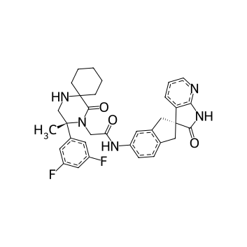 C[C@@]1(c2cc(F)cc(F)c2)CNC2(CCCCC2)C(=O)N1CC(=O)Nc1ccc2c(c1)C[C@@]1(C2)C(=O)Nc2ncccc21